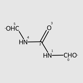 O=[C]NC(=O)N[C]=O